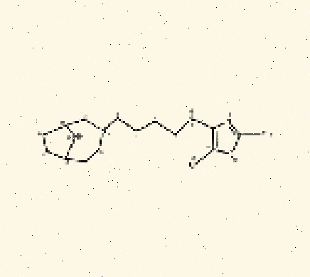 Fc1nc(NCCCCN2CCC3CCC(C2)N3)c(Cl)s1